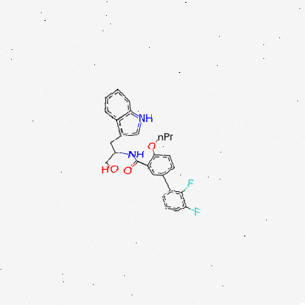 CCCOc1ccc(-c2cccc(F)c2F)cc1C(=O)NC(CO)Cc1c[nH]c2ccccc12